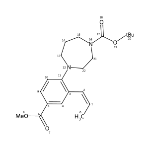 C/C=C\c1cc(C(=O)OC)ccc1N1CCCN(C(=O)OC(C)(C)C)CC1